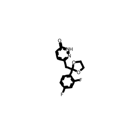 O=c1ccc(CC2(c3ccc(F)cc3F)OCCO2)n[nH]1